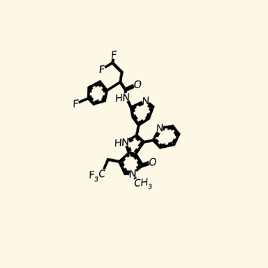 Cn1cc(CC(F)(F)F)c2[nH]c(-c3ccnc(NC(=O)C(CC(F)F)c4ccc(F)cc4)c3)c(-c3ccccn3)c2c1=O